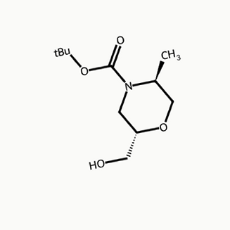 C[C@H]1CO[C@H](CO)CN1C(=O)OC(C)(C)C